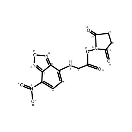 O=C(CNc1ccc([N+](=O)[O-])c2nonc12)ON1C(=O)CCC1=O